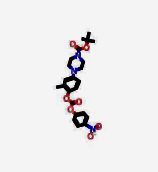 Cc1cc(N2CCN(C(=O)OC(C)(C)C)CC2)ccc1OC(=O)Oc1ccc([N+](=O)[O-])cc1